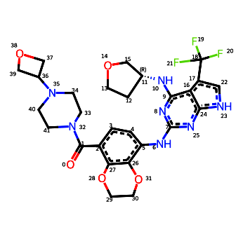 O=C(c1ccc(Nc2nc(N[C@@H]3CCOC3)c3c(C(F)(F)F)c[nH]c3n2)c2c1OCCO2)N1CCN(C2COC2)CC1